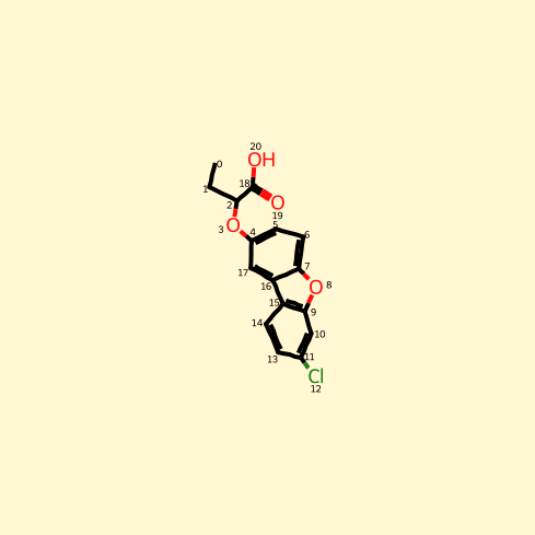 CCC(Oc1ccc2oc3cc(Cl)ccc3c2c1)C(=O)O